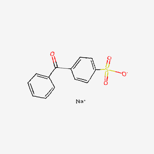 O=C(c1ccccc1)c1ccc(S(=O)(=O)[O-])cc1.[Na+]